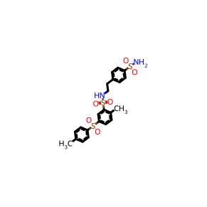 Cc1ccc(S(=O)(=O)c2ccc(C)c(S(=O)(=O)NCCc3ccc(S(N)(=O)=O)cc3)c2)cc1